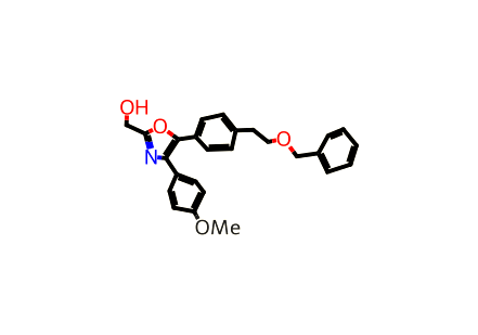 COc1ccc(-c2nc(CO)oc2-c2ccc(CCOCc3ccccc3)cc2)cc1